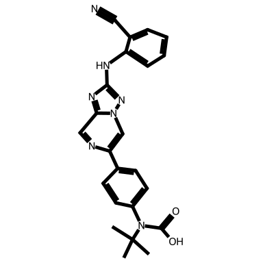 CC(C)(C)N(C(=O)O)c1ccc(-c2cn3nc(Nc4ccccc4C#N)nc3cn2)cc1